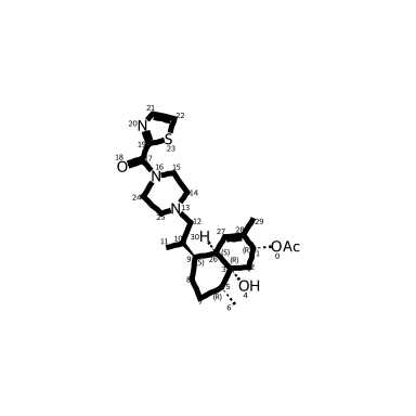 CC(=O)O[C@@H]1[CH][C@@]2(O)[C@H](C)CC[C@@H](C(C)CN3CCN(C(=O)c4nccs4)CC3)[C@H]2C=C1C